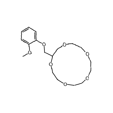 COc1ccccc1OCC1COCCOCCOCCOCCO1